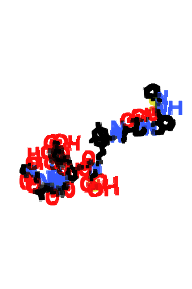 Cc1c(-c2ccc(N3CCc4cccc(C(=O)Nc5nc6ccccc6s5)c4C3)nc2C(=O)O)cnn1CC12CC3(C)CC(C)(CC(CCCN(CCS(=O)(=O)O)C(=O)OCc4ccc(NC(=O)[C@H](C)NC(=O)[C@@H](NC(=O)CN5C(=O)C=CC5=O)C(C)C)cc4C[C@@H]4O[C@H](C(=O)O)[C@@H](O)[C@H](O)[C@H]4O)(C3)C1)C2